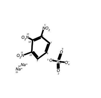 O=S(=O)([O-])[O-].O=[N+]([O-])c1cccc([N+](=O)[O-])c1[N+](=O)[O-].[Na+].[Na+]